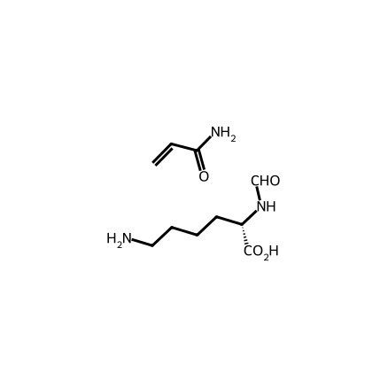 C=CC(N)=O.NCCCC[C@H](NC=O)C(=O)O